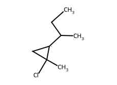 CCC(C)[C]1CC1(C)Cl